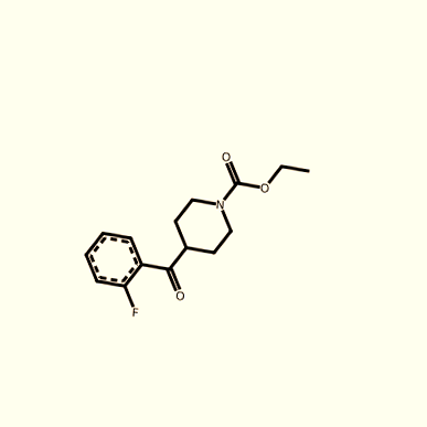 CCOC(=O)N1CCC(C(=O)c2ccccc2F)CC1